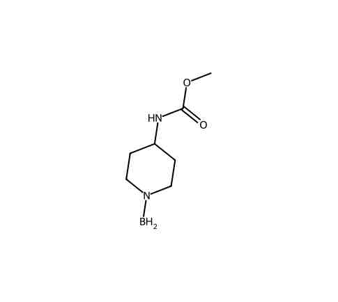 BN1CCC(NC(=O)OC)CC1